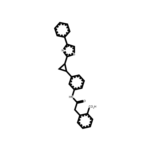 O=C(Cc1ccccc1C(=O)O)Nc1cccc(C2CC2c2nc(-c3ccccc3)cs2)c1